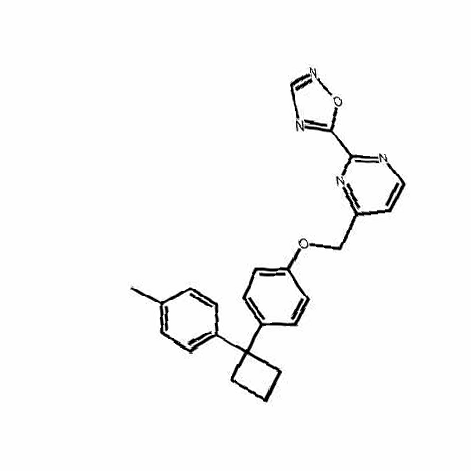 Cc1ccc(C2(c3ccc(OCc4ccnc(-c5ncno5)n4)cc3)CCC2)cc1